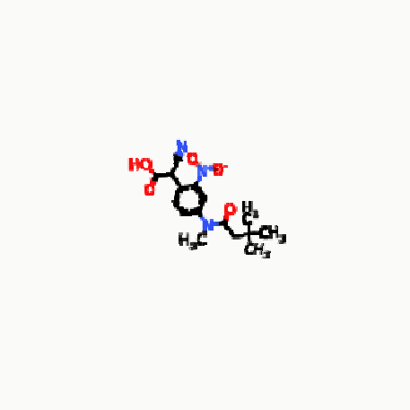 CN(C(=O)CC(C)(C)C)c1ccc(C(C#N)C(=O)O)c([N+](=O)[O-])c1